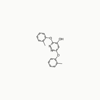 Cc1ccccc1Oc1cc(O)c(Oc2ccccc2C)nn1